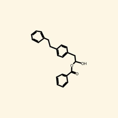 O=C(OC(O)Cc1ccc(CCc2ccccc2)cc1)c1ccccc1